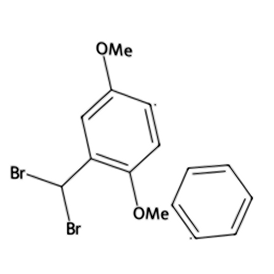 COc1[c]cc(OC)c(C(Br)Br)c1.[c]1ccccc1